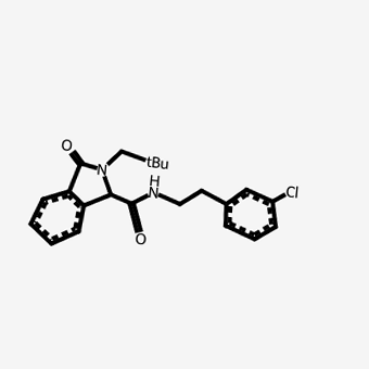 CC(C)(C)CN1C(=O)c2ccccc2C1C(=O)NCCc1cccc(Cl)c1